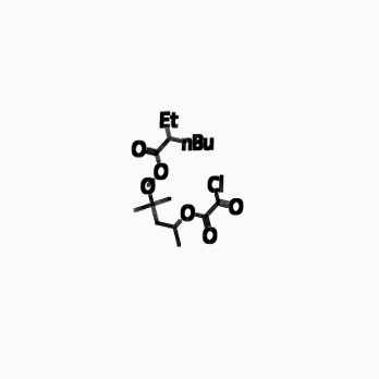 CCCCC(CC)C(=O)OOC(C)(C)CC(C)OC(=O)C(=O)Cl